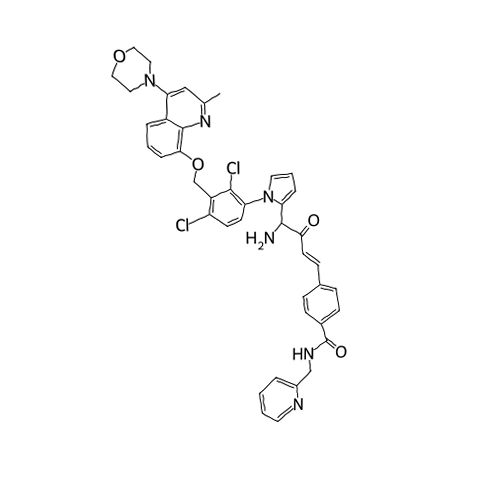 Cc1cc(N2CCOCC2)c2cccc(OCc3c(Cl)ccc(-n4cccc4C(N)C(=O)/C=C/c4ccc(C(=O)NCc5ccccn5)cc4)c3Cl)c2n1